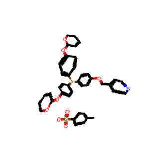 Cc1ccc(S(=O)(=O)[O-])cc1.c1cc(COc2ccc([S+](c3ccc(OC4CCCCO4)cc3)c3ccc(OC4CCCCO4)cc3)cc2)ccn1